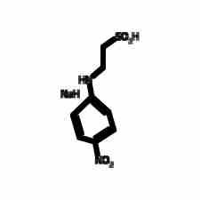 O=[N+]([O-])c1ccc(NCCS(=O)(=O)O)cc1.[NaH]